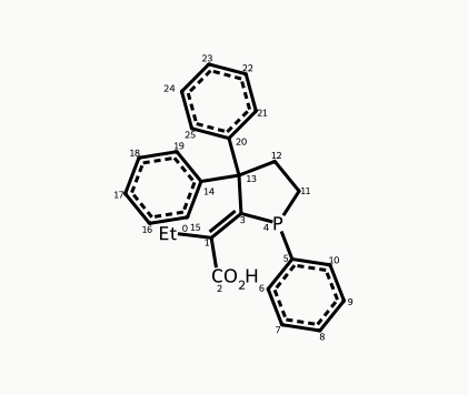 CCC(C(=O)O)=C1P(c2ccccc2)CCC1(c1ccccc1)c1ccccc1